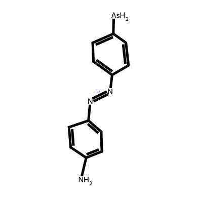 Nc1ccc(/N=N/c2ccc([AsH2])cc2)cc1